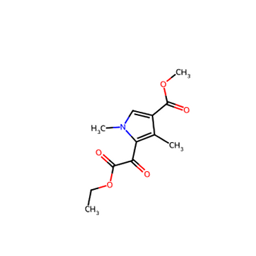 CCOC(=O)C(=O)c1c(C)c(C(=O)OC)cn1C